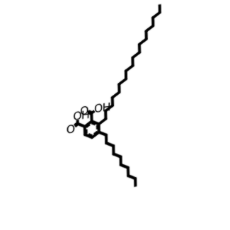 CCCCCCCCCCCCCCCCCCc1c(CCCCCCCCCC)ccc(C(=O)O)c1C(=O)O